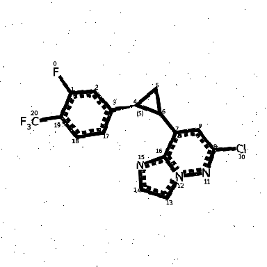 Fc1cc([C@H]2CC2c2cc(Cl)nn3ccnc23)ccc1C(F)(F)F